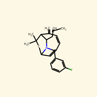 C=C(C)CC1C2C(=C)/C=C\C=C/C(CC2(C)C)N1Cc1cccc(F)c1